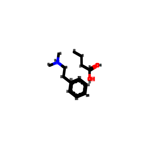 CCCC(=O)O.CN(C)CCc1ccccc1